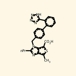 CCCc1nc2c(C)sc(C(=O)O)c2n1Cc1ccc(-c2ccccc2-c2nnn[nH]2)cc1